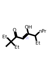 CCCC(CC)/C(O)=C/C(=O)C(C)(CC)CC